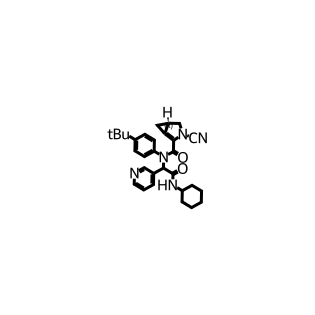 CC(C)(C)c1ccc(N(C(=O)C2=C3C[C@H]3CN2C#N)C(C(=O)NC2CCCCC2)c2cccnc2)cc1